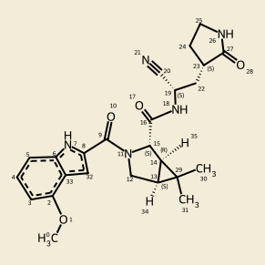 COc1cccc2[nH]c(C(=O)N3C[C@H]4[C@@H]([C@H]3C(=O)N[C@H](C#N)C[C@@H]3CCNC3=O)C4(C)C)cc12